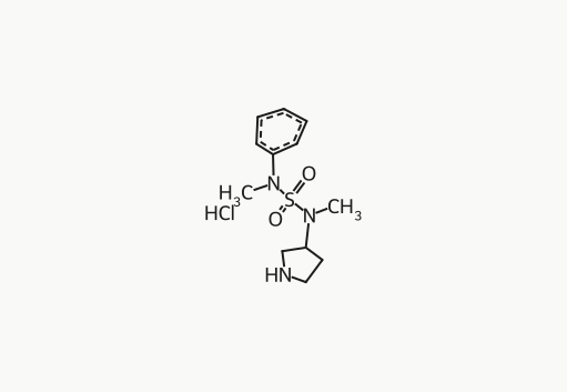 CN(c1ccccc1)S(=O)(=O)N(C)C1CCNC1.Cl